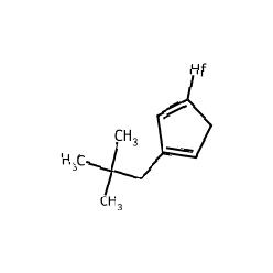 CC(C)(C)CC1=CC[C]([Hf])=C1